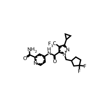 NC(=O)c1cc(NC(=O)c2c(C(F)(F)F)c(C3CC3)nn2CC2CCC(F)(F)C2)ccn1